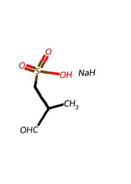 CC(C=O)CS(=O)(=O)O.[NaH]